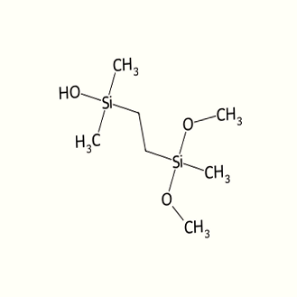 CO[Si](C)(CC[Si](C)(C)O)OC